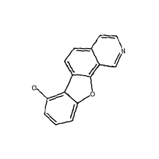 Clc1cccc2oc3c4cnccc4ccc3c12